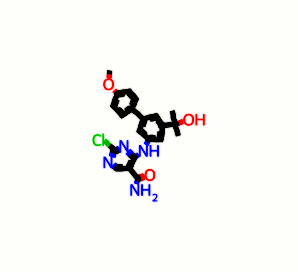 COc1ccc(-c2cc(Nc3nc(Cl)ncc3C(N)=O)cc(C(C)(C)O)c2)cc1